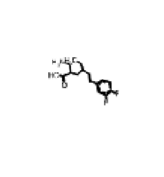 CCC(CCc1ccc(F)c(F)c1)CC(CN)C(=O)O